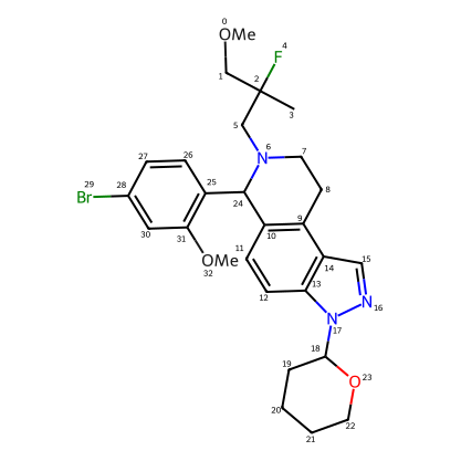 COCC(C)(F)CN1CCc2c(ccc3c2cnn3C2CCCCO2)C1c1ccc(Br)cc1OC